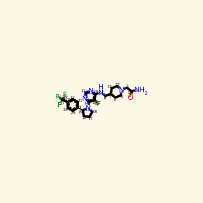 NC(=O)CN1CCC(CNc2ncnc(N3CCC[C@H]3c3ccc(C(F)(F)F)cc3)c2F)CC1